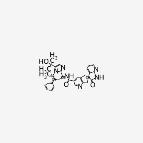 C[C@@H]1[C@H](c2ccccc2)C[C@H](NC(=O)c2cnc3c(c2)C[C@@]2(C3)C(=O)Nc3ncccc32)c2ncc(C(C)(C)O)n21